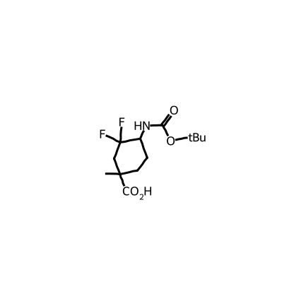 CC(C)(C)OC(=O)NC1CCC(C)(C(=O)O)CC1(F)F